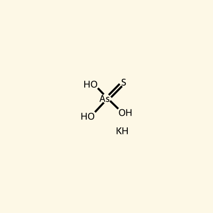 O[As](O)(O)=S.[KH]